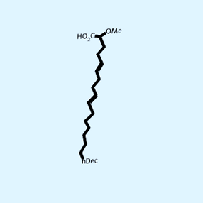 CCCCCCCCCCCCCCCC/C=C/CC/C=C/CCC(OC)C(=O)O